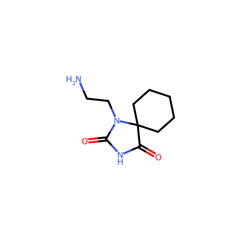 NCCN1C(=O)NC(=O)C12CCCCC2